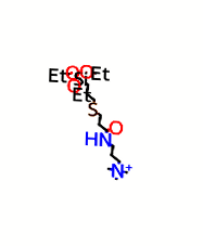 CCO[Si](CCCSCCC(=O)NCCC[N+](C)(C)C)(OCC)OCC